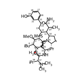 CCC(C)C(C(CC(=O)N1CCCC1C(C(CCc1cccc(O)c1)SC)C(C)C(N)=O)OC)N(C)C(=O)C(NC(=O)C(C(C)C)N(C)C)C(C)C